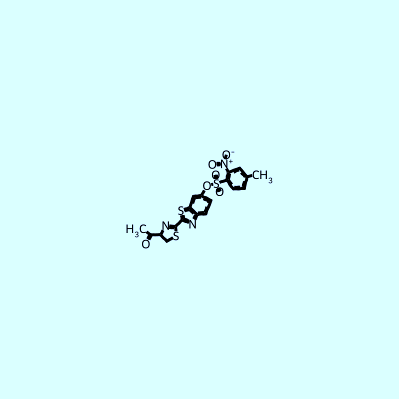 CC(=O)C1CSC(c2nc3ccc(OS(=O)(=O)c4ccc(C)cc4[N+](=O)[O-])cc3s2)=N1